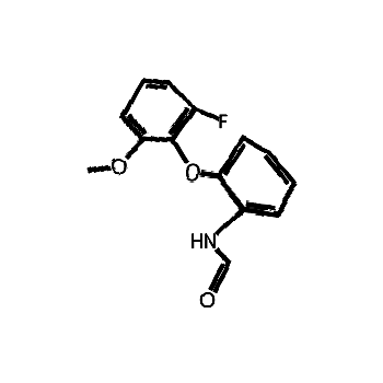 COc1cccc(F)c1Oc1ccccc1NC=O